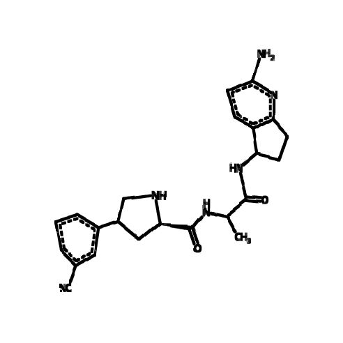 CC(NC(=O)[C@H]1CC(c2cccc(C#N)c2)CN1)C(=O)NC1CCc2nc(N)ccc21